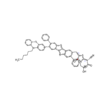 CCCCCCN1c2ccccc2Sc2cc(-c3cc4c(cc3-c3ccccc3)sc3c5cc(/C=c6/s/c(=C(\C#N)C(=O)O)n(CC(=O)O)c6=O)c(-c6ccccc6)cc5sc43)ccc21